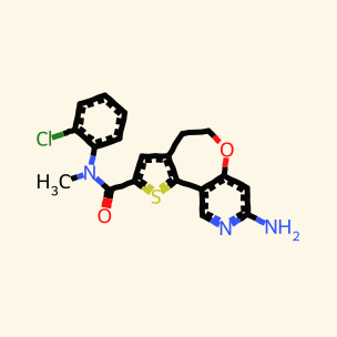 CN(C(=O)c1cc2c(s1)-c1cnc(N)cc1OCC2)c1ccccc1Cl